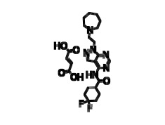 O=C(Nc1ncnc2c1cnn2CCN1CCCCCC1)C1CCC(F)(F)CC1.O=C(O)C=CC(=O)O